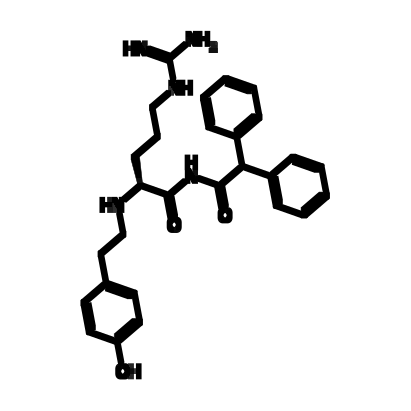 N=C(N)NCCC[C@H](NCCc1ccc(O)cc1)C(=O)NC(=O)C(c1ccccc1)c1ccccc1